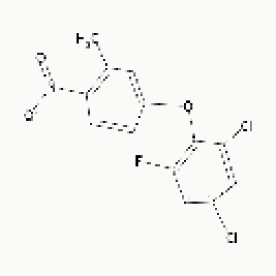 Cc1cc(Oc2c(F)cc(Cl)cc2Cl)ccc1[N+](=O)[O-]